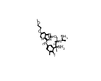 C=C(N)S[C@@]1(COC)C[C@H]1[C@](C)(N)c1cc(Nc2ncnc3cc(OCCOI)cnc23)cc(C)c1F